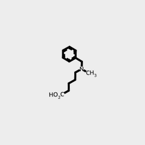 CN(CCCCC(=O)O)Cc1ccccc1